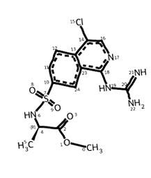 COC(=O)[C@@H](C)NS(=O)(=O)c1ccc2c(Cl)cnc(NC(=N)N)c2c1